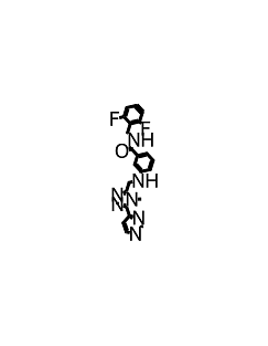 Cn1c(CNc2cccc(C(=O)NCc3c(F)c#ccc3F)c2)nnc1-c1ccncn1